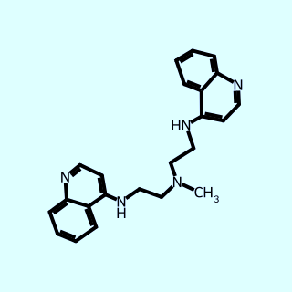 CN(CCNc1ccnc2ccccc12)CCNc1ccnc2ccccc12